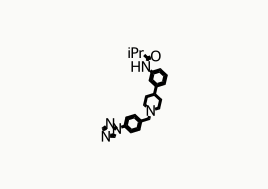 CC(C)C(=O)Nc1cccc(C2CCN(Cc3ccc(-n4cncn4)cc3)CC2)c1